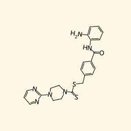 Nc1ccccc1NC(=O)c1ccc(CSC(=S)N2CCN(c3ncccn3)CC2)cc1